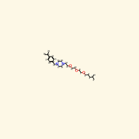 CC(C)CCCOCCOCCOCCN1CCN(Cc2ccc(C(C)C)cc2)CC1